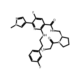 Cn1cc(-c2nc(NCCc3cccc(F)c3)c(C(=O)NC[C@H]3CCCN3C(=O)CN)cc2F)cn1